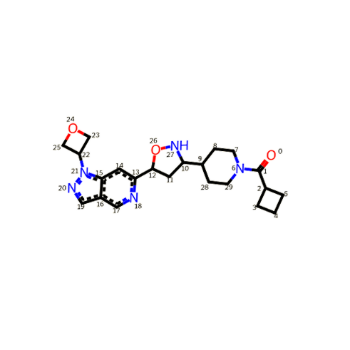 O=C(C1CCC1)N1CCC(C2CC(c3cc4c(cn3)cnn4C3COC3)ON2)CC1